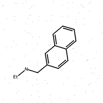 CC[N]Cc1ccc2ccccc2c1